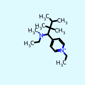 CCN(C)C(c1cc[n+](CC)cc1)C(C)(C)C(C)C